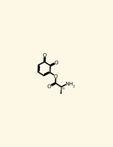 C[C@H](N)C(=O)OC1=CC=CC(=O)C1=O